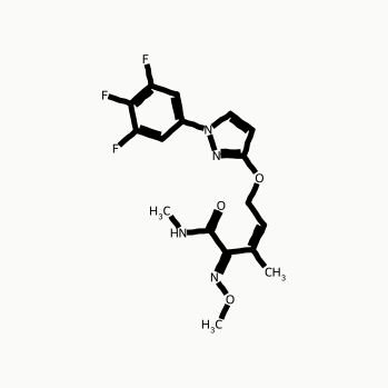 CNC(=O)C(=N/OC)/C(C)=C\COc1ccn(-c2cc(F)c(F)c(F)c2)n1